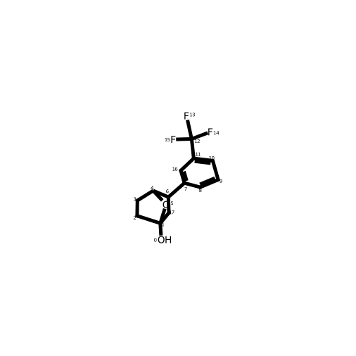 OC12CCC(O1)C(c1cccc(C(F)(F)F)c1)C2